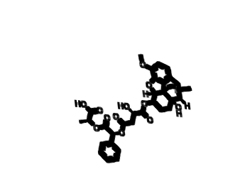 COc1ccc2c3c1O[C@H]1C(OC(=O)[C@@H](O)CC(=O)O[C@H](C(=O)O[C@@H](C)C(=O)O)c4ccccc4)=CC[C@@]4(O)[C@@H](C2)N(C)CC[C@]314